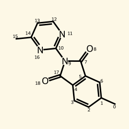 Cc1ccc2c(c1)C(=O)N(c1nccc(C)n1)C2=O